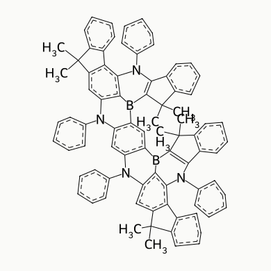 CC1(C)C2=C(c3ccccc31)N(c1ccccc1)c1c3c(cc4c1-c1ccccc1C4(C)C)N(c1ccccc1)c1cc4c(cc1B23)B1C2=C(c3ccccc3C2(C)C)N(c2ccccc2)c2c1c(cc1c2-c2ccccc2C1(C)C)N4c1ccccc1